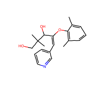 Cc1cccc(C)c1O/C(=C/c1cccnc1)C(O)C(C)(C)CO